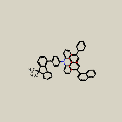 CC1(C)c2ccccc2-c2c(-c3ccc(N(c4ccccc4-c4ccc(-c5ccccc5)cc4)c4ccccc4-c4ccc(-c5cccc6ccccc56)cc4)cc3)cccc21